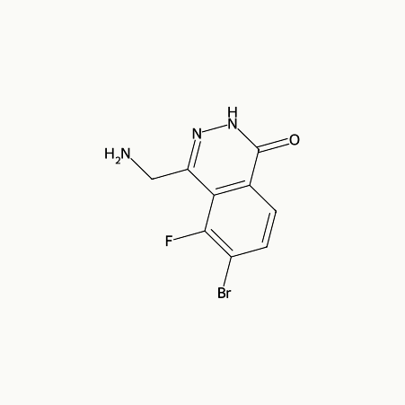 NCc1n[nH]c(=O)c2ccc(Br)c(F)c12